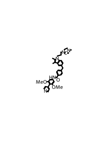 COc1cc(NC(=O)c2ccc(Cc3ccc4c(c3)c(C)c(C)n4CCCN3CCN(C)CC3)cc2)cc(OC)c1-c1ccncc1